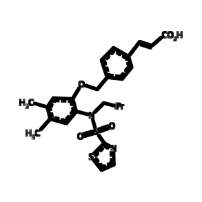 Cc1cc(OCc2ccc(C=CC(=O)O)cc2)c(N(CC(C)C)S(=O)(=O)c2nccs2)cc1C